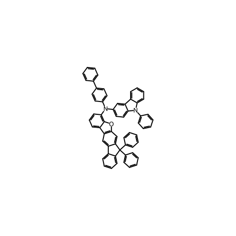 c1ccc(-c2ccc(N(c3ccc4c(c3)c3ccccc3n4-c3ccccc3)c3cccc4c3oc3cc5c(cc34)-c3ccccc3C5(c3ccccc3)c3ccccc3)cc2)cc1